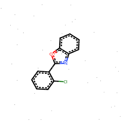 Clc1[c]cccc1-c1nc2ccccc2o1